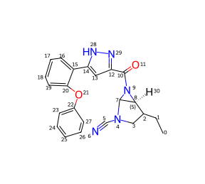 CCC1CN(C#N)C2[C@H]1N2C(=O)c1cc(-c2ccccc2Oc2ccccc2)[nH]n1